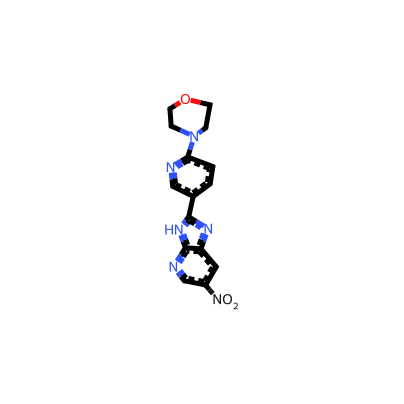 O=[N+]([O-])c1cnc2[nH]c(-c3ccc(N4CCOCC4)nc3)nc2c1